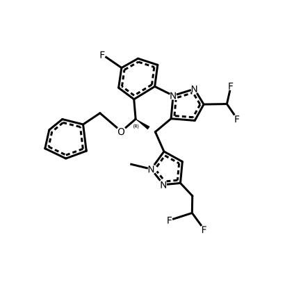 C[C@@H](OCc1ccccc1)c1cc(F)ccc1-n1nc(C(F)F)cc1Cc1cc(CC(F)F)nn1C